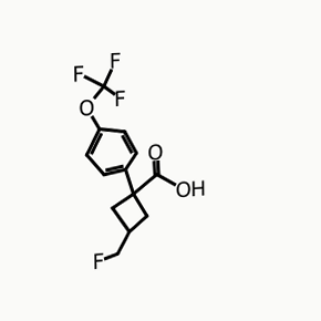 O=C(O)C1(c2ccc(OC(F)(F)F)cc2)CC(CF)C1